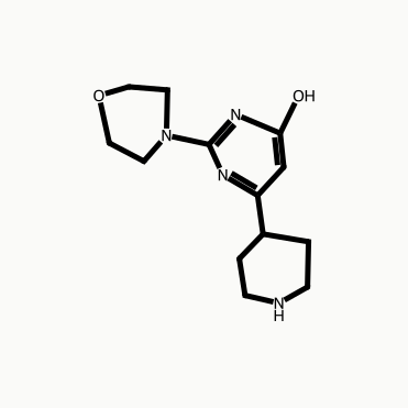 Oc1cc(C2CCNCC2)nc(N2CCOCC2)n1